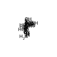 Nc1ncnc2c1ccn2[C@@H]1O[C@H](COP(=O)(O)[C@@H]2CC(CO)O[C@H]2n2cnc3c(=O)[nH]cnc32)[C@@H](O)[C@H]1O